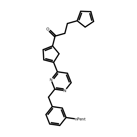 CCCCCc1cccc(Cc2nccc(C3=CC=C(C(=O)CCC4=CC=CC4)C3)n2)c1